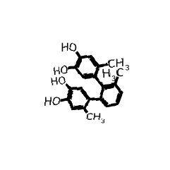 Cc1cc(O)c(O)cc1-c1cccc(C)c1-c1cc(O)c(O)cc1C